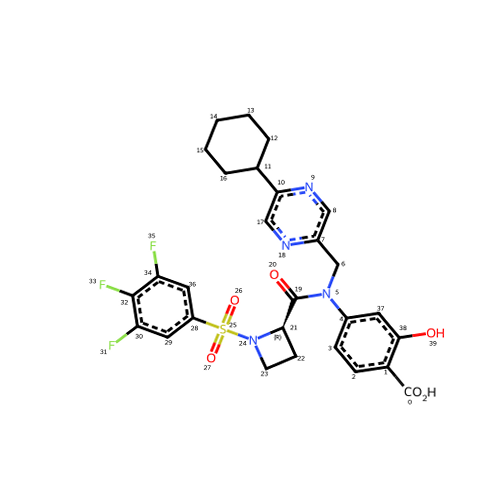 O=C(O)c1ccc(N(Cc2cnc(C3CCCCC3)cn2)C(=O)[C@H]2CCN2S(=O)(=O)c2cc(F)c(F)c(F)c2)cc1O